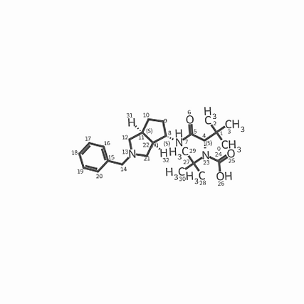 CC(C)(C)[C@@H](C(=O)N[C@H]1CC[C@@H]2CN(Cc3ccccc3)C[C@@H]21)N(C(=O)O)C(C)(C)C